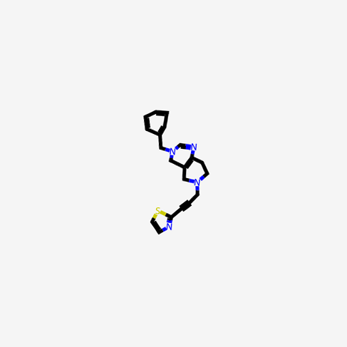 C(#Cc1nccs1)CN1CCC2=C(CN(Cc3ccccc3)C=N2)C1